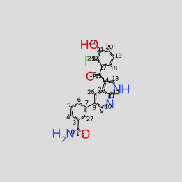 NC(=O)c1cccc(-c2cnc3[nH]cc(C(=O)c4cccc(O)c4F)c3c2)c1